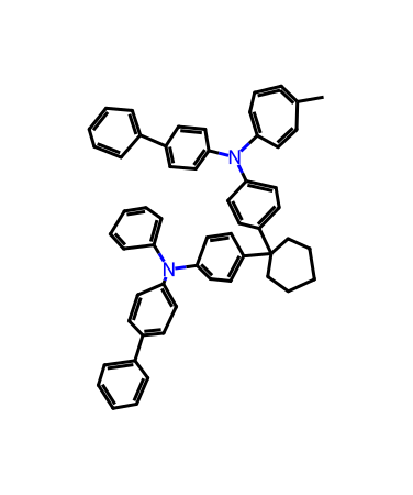 CC1=C=CC=C(N(c2ccc(-c3ccccc3)cc2)c2ccc(C3(c4ccc(N(c5ccccc5)c5ccc(-c6ccccc6)cc5)cc4)CCCCC3)cc2)C=C1